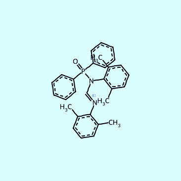 Cc1cccc(C)c1/N=C/N(c1c(C)cccc1C)P(=O)(c1ccccc1)c1ccccc1